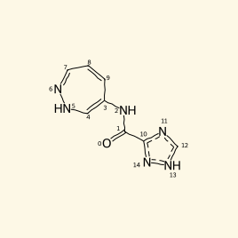 O=C(NC1=CNN=CC=C1)c1nc[nH]n1